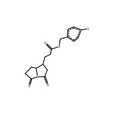 O=C(CCC1CC(=O)N2C(=O)CCC12)OCc1ccc(Cl)cc1